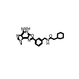 CNc1nc2oc(-c3cccc(CNC(=O)CC4CCCCC4)c3)nc2c2c1ncn2C